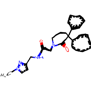 Cn1ccc(CNC(=O)CN2CCC(c3ccccc3)(c3ccccc3)C2=O)n1